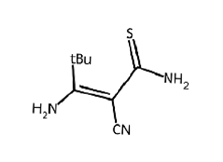 CC(C)(C)/C(N)=C(/C#N)C(N)=S